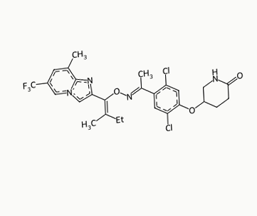 CC/C(C)=C(\O/N=C(\C)c1cc(Cl)c(OC2CCC(=O)NC2)cc1Cl)c1cn2cc(C(F)(F)F)cc(C)c2n1